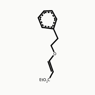 CCOC(=O)C=COCCc1ccccc1